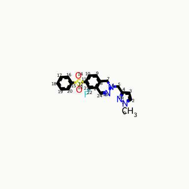 Cn1ccc(CN2Cc3ccc(S(=O)(=O)c4ccccc4)c(F)c3C=N2)n1